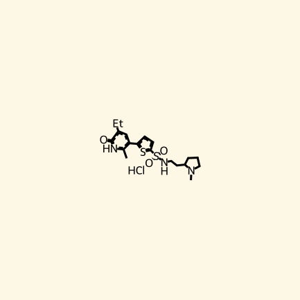 CCc1cc(-c2ccc(S(=O)(=O)NCCC3CCCN3C)s2)c(C)[nH]c1=O.Cl